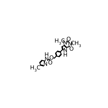 Cc1ccc(NC(=O)OCc2ccc(-c3cc4c([nH]3)c(=O)n(C)c(=O)n4C)cc2)nc1